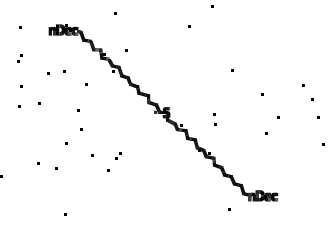 CCCCCCCCCCCCCCCCCCCCCCCCCCC[CH]SCCCCCCCCCCCCCCCCCCCCCCCCCCC